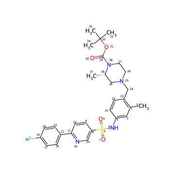 Cc1cc(NS(=O)(=O)c2ccc(-c3ccc(F)cc3)nc2)ccc1CN1CCN(C(=O)OC(C)(C)C)[C@@H](C)C1